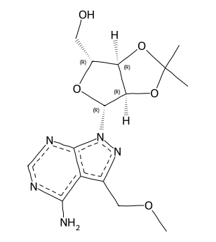 COCc1nn([C@@H]2O[C@H](CO)[C@H]3OC(C)(C)O[C@H]32)c2ncnc(N)c12